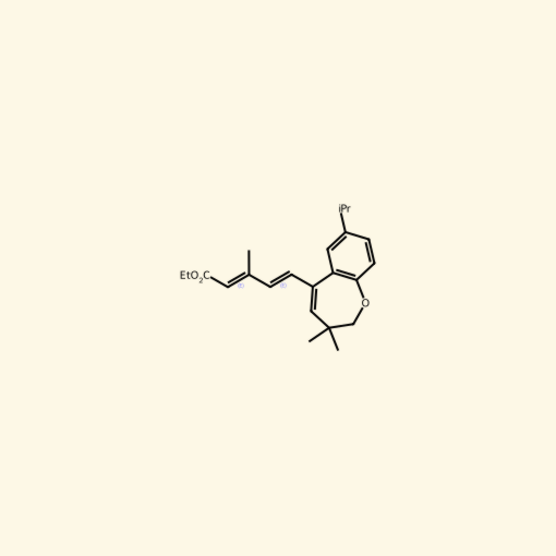 CCOC(=O)/C=C(C)/C=C/C1=CC(C)(C)COc2ccc(C(C)C)cc21